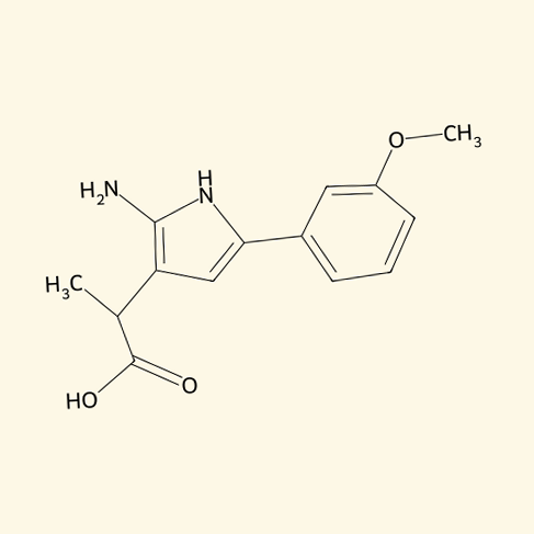 COc1cccc(-c2cc(C(C)C(=O)O)c(N)[nH]2)c1